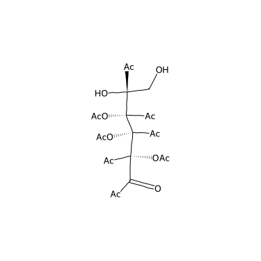 CC(=O)O[C@@](C(C)=O)(C(=O)C(C)=O)[C@](OC(C)=O)(C(C)=O)[C@](OC(C)=O)(C(C)=O)[C@](O)(CO)C(C)=O